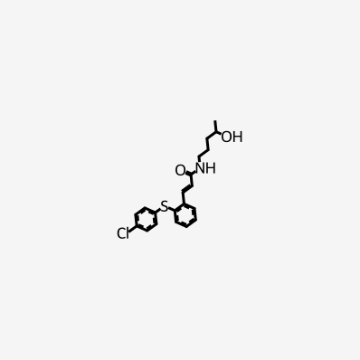 CC(O)CCCNC(=O)/C=C/c1ccccc1Sc1ccc(Cl)cc1